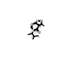 Cc1noc2ncn(C(C)C(C)C)c(=O)c12